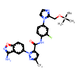 CC(C)(C)[Si](C)(C)OCc1nccn1-c1ccc(NC(=O)c2cc(C(F)(F)F)nn2-c2ccc3onc(N)c3c2)c(F)c1